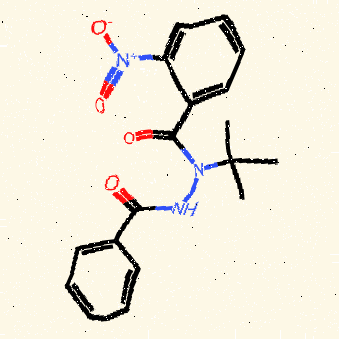 CC(C)(C)N(NC(=O)c1ccccc1)C(=O)c1ccccc1[N+](=O)[O-]